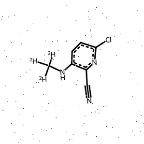 [2H]C([2H])([2H])Nc1ccc(Cl)nc1C#N